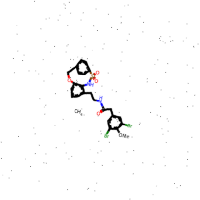 C.COc1c(Br)cc(CC(=O)NCCc2cccc3c2NS(=O)(=O)c2ccc(cc2)CO3)cc1Br